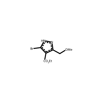 CCOC(=O)c1c(COC)n[nH]c1Br